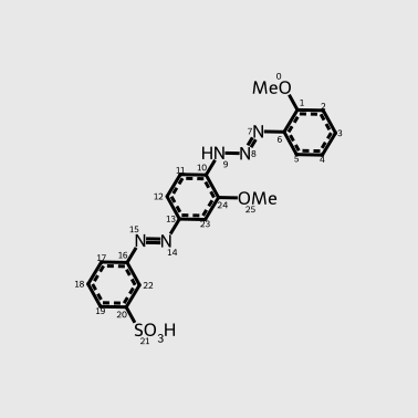 COc1ccccc1/N=N/Nc1ccc(/N=N/c2cccc(S(=O)(=O)O)c2)cc1OC